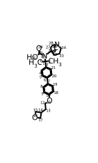 CC(C)(c1ccc(-c2ccc(OCCC3COC3)cc2)cc1)N(C(=O)O)C1CCN2CCC1CC2